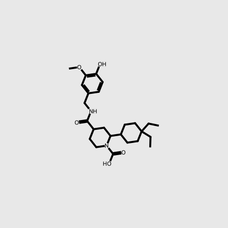 CCC1(CC)CCC(C2CC(C(=O)NCc3ccc(O)c(OC)c3)CCN2C(=O)O)CC1